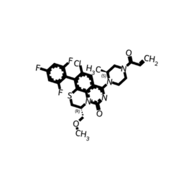 C=CC(=O)N1CCN(c2nc(=O)n3c4c(c(-c5c(F)cc(F)cc5F)c(Cl)cc24)SC[C@H]3COC)[C@@H](C)C1